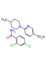 CC1CCN(c2ccc(S(=O)(=O)O)cn2)CC1.NC(=O)c1ccc(Cl)cc1Cl